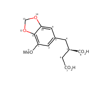 COc1cc(C[C@H](CC(=O)O)C(=O)O)cc2c1OCO2